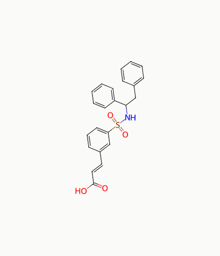 O=C(O)C=Cc1cccc(S(=O)(=O)NC(Cc2ccccc2)c2ccccc2)c1